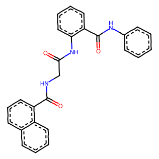 O=C(CNC(=O)c1cccc2ccccc12)Nc1ccccc1C(=O)Nc1ccccc1